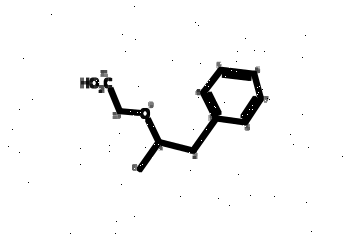 CC(Cc1ccccc1)OCC(=O)O